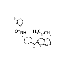 CN(C)c1cc(NC2CCC(CNC(=O)c3cccc(I)c3)CC2)nc2ccccc12